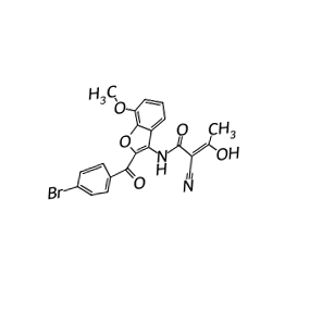 COc1cccc2c(NC(=O)/C(C#N)=C(\C)O)c(C(=O)c3ccc(Br)cc3)oc12